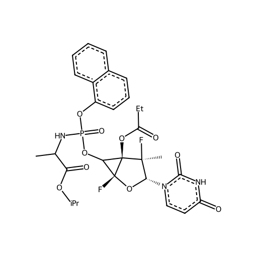 CCC(=O)O[C@]12C(OP(=O)(NC(C)C(=O)OC(C)C)Oc3cccc4ccccc34)[C@@]1(F)O[C@@H](n1ccc(=O)[nH]c1=O)[C@]2(C)F